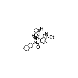 CCn1ncc2c(N[C@H]3C[C@@H]4CC[C@@H]3C4)c(C(=O)NC3Cc4ccccc4C3)cnc21